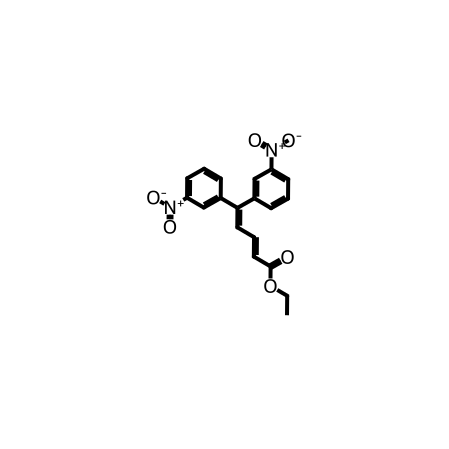 CCOC(=O)C=CC=C(c1cccc([N+](=O)[O-])c1)c1cccc([N+](=O)[O-])c1